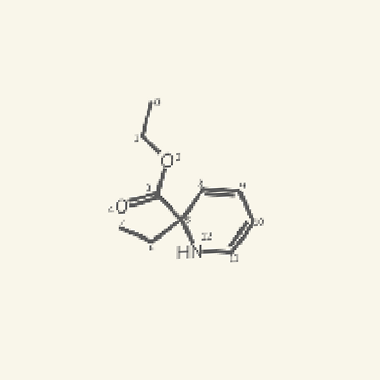 CCOC(=O)C1(CC)C=CC=CN1